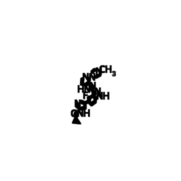 CN1CCN(c2nccc3[nH]c(-c4n[nH]c5ccc(-c6cncc(NC(=O)C7CC7)c6)c(F)c45)nc23)CC1